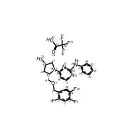 Fc1cc(F)c(COC[C@@H]2C[C@@H](S)CN2c2ccnc(Nc3ccccc3)n2)cc1F.O=C(O)C(F)(F)F